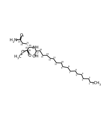 CCCCCCCCCCCCCCCCCC(O)N[C@@H](CCC(N)=O)C(=O)OC